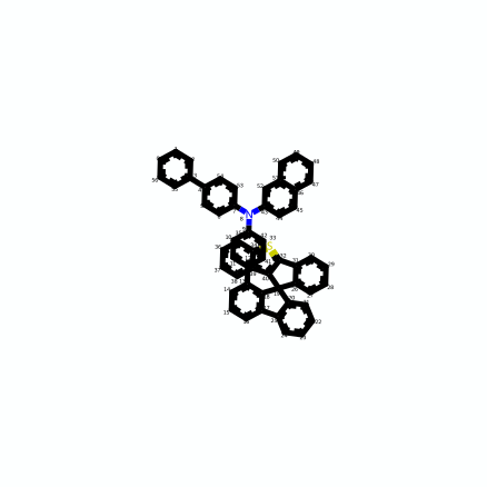 c1ccc(-c2ccc(N(c3ccc(-c4cccc5c4C4(c6ccccc6-5)c5ccccc5-c5sc6ccccc6c54)cc3)c3ccc4ccccc4c3)cc2)cc1